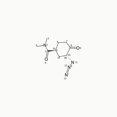 CN(C)C(=O)[C@H]1CCC(=O)[C@H](N=[N+]=[N-])C1